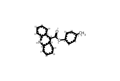 Cc1ccc(OC(=O)c2c3ccccc3nc3ccccc23)cc1